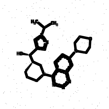 CC(C)n1cc([C@@H](O)[C@H]2CCCN(c3nnnc4cc(N5CCOCC5)ccc34)C2)cn1